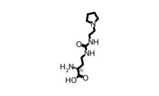 N[C@@H](CCNC(=O)NCCN1CCCC1)C(=O)O